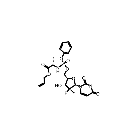 C=CCOC(=O)[C@H](C)NP(=O)(OC[C@H]1O[C@@H](n2ccc(=O)[nH]c2=O)[C@](C)(F)[C@@H]1O)Oc1ccccc1